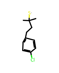 CC(C)([S])CCc1ccc(Cl)cc1